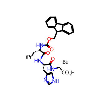 CC[C@H](C)[C@H](NC(=O)[C@H](Cc1c[nH]cn1)NC(=O)[C@H](CC(C)C)NC(=O)OCC1c2ccccc2-c2ccccc21)C(=O)O